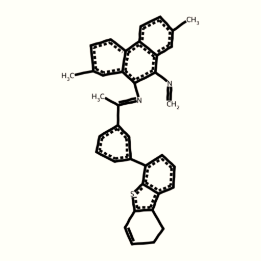 C=Nc1c(/N=C(\C)c2cccc(-c3cccc4c5c(sc34)C=CCC5)c2)c2cc(C)ccc2c2ccc(C)cc12